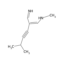 CN/C=C(/C#CC(C)C)C=N